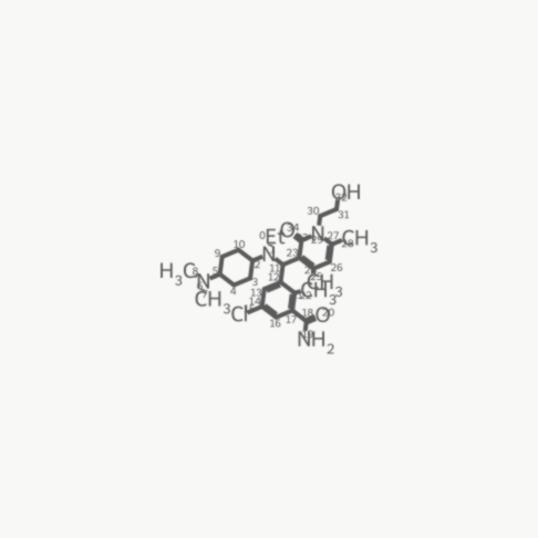 CCN(C1CCC(N(C)C)CC1)C(c1cc(Cl)cc(C(N)=O)c1C)c1c(C)cc(C)n(CCO)c1=O